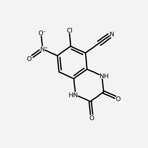 N#Cc1c(Cl)c([N+](=O)[O-])cc2[nH]c(=O)c(=O)[nH]c12